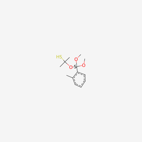 CO[Si](OC)(OC(C)(C)S)c1ccccc1C